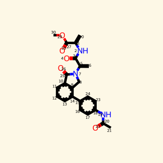 C=C(NC(=O)C(=C)N1Cc2c(cccc2-c2ccc(NC(C)=O)cc2)C1=O)C(=O)OC